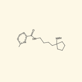 CNC1(CCCCNC(=O)c2cccc(C)n2)CCCC1